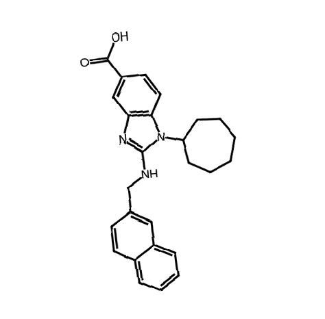 O=C(O)c1ccc2c(c1)nc(NCc1ccc3ccccc3c1)n2C1CCCCCC1